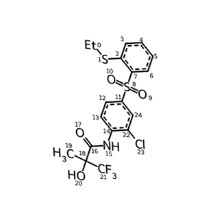 CCSc1ccccc1S(=O)(=O)c1ccc(NC(=O)C(C)(O)C(F)(F)F)c(Cl)c1